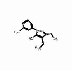 CCc1nn(-c2cccc(C)c2)c(O)c1CC